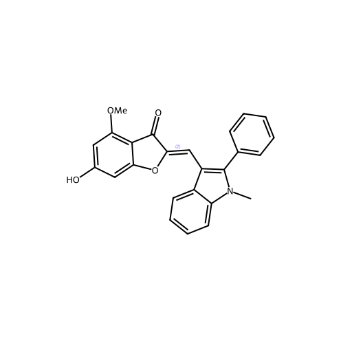 COc1cc(O)cc2c1C(=O)/C(=C/c1c(-c3ccccc3)n(C)c3ccccc13)O2